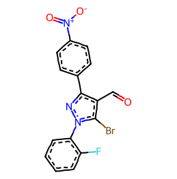 O=Cc1c(-c2ccc([N+](=O)[O-])cc2)nn(-c2ccccc2F)c1Br